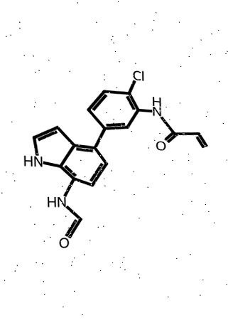 C=CC(=O)Nc1cc(-c2ccc(NC=O)c3[nH]ccc23)ccc1Cl